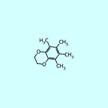 Cc1c(C)c(C)c2c(c1C)OCCO2